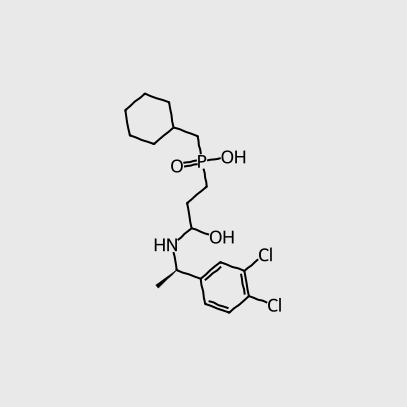 C[C@@H](NC(O)CCP(=O)(O)CC1CCCCC1)c1ccc(Cl)c(Cl)c1